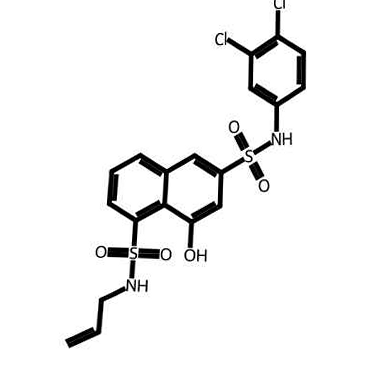 C=CCNS(=O)(=O)c1cccc2cc(S(=O)(=O)Nc3ccc(Cl)c(Cl)c3)cc(O)c12